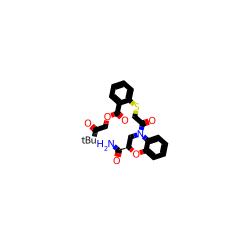 CC(C)(C)C(=O)COC(=O)c1ccccc1SCC(=O)N1C[C@@H](C(N)=O)Oc2ccccc21